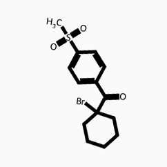 CS(=O)(=O)c1ccc(C(=O)C2(Br)CCCCC2)cc1